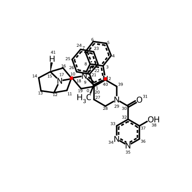 Cc1nc2ccccc2n1C1CC2CC[C@H](C1)N2CCC1(c2ccccc2)CCN(C(=O)c2cnncc2O)CC1